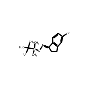 CC(C)(C)[Si](C)(C)ON=C1CCc2cc(Br)ccc21